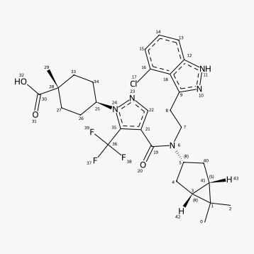 CC1(C)[C@@H]2C[C@H](N(CCc3n[nH]c4cccc(Cl)c34)C(=O)c3cnn([C@H]4CC[C@](C)(C(=O)O)CC4)c3C(F)(F)F)C[C@@H]21